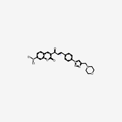 CCN(CC)c1ccc2cc(C(=O)/C=C/c3ccc(-n4cc(CN5CCOCC5)nn4)cc3)c(=O)oc2c1